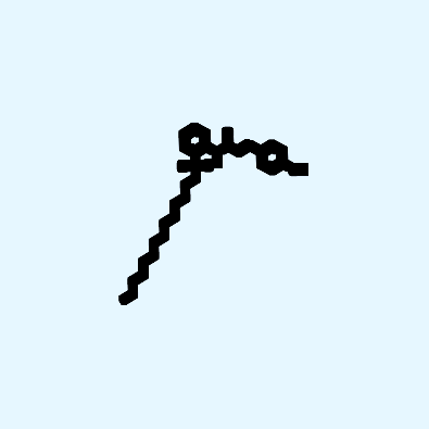 CCCCCCCCCCCCCCS(=O)(=O)c1ccccc1NC(=O)C=Cc1ccc(O)cc1